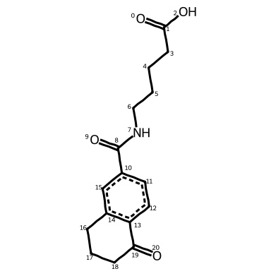 O=C(O)CCCCNC(=O)c1ccc2c(c1)CCCC2=O